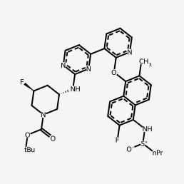 CCC[S+]([O-])Nc1c(F)ccc2c(Oc3ncccc3-c3ccnc(N[C@H]4C[C@H](F)CN(C(=O)OC(C)(C)C)C4)n3)c(C)ccc12